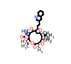 CC[C@H]1OC(=O)[C@H](C)C(=O)[C@H](C)[C@@H](C(C)(C)C)[C@@]2(C)C[C@H](C(=O)[C@H](C)[C@H]3NC(=O)O[C@@]31C)C(/C=C/c1cnc3ccccc3c1)O2